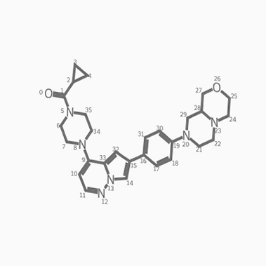 O=C(C1CC1)N1CCN(c2ccnn3cc(-c4ccc(N5CCN6CCOCC6C5)cc4)cc23)CC1